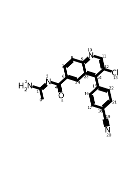 C/C(N)=N\C(=O)c1ccc2ncc(Cl)c(-c3ccc(C#N)cc3)c2c1